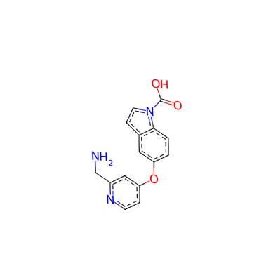 NCc1cc(Oc2ccc3c(ccn3C(=O)O)c2)ccn1